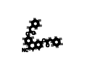 N#CC(Cc1ccc(OC(=O)Cc2ccccc2)cc1)c1ccc(OC(=O)Cc2ccccc2)cc1